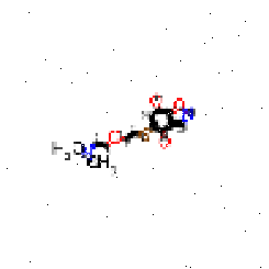 CN(C)CCOCCSC1=CC(=O)c2oncc2C1=O